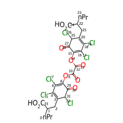 CCCC(CC1=C(Cl)C(Cl)=C(OC(=O)C(=O)OC2=C(Cl)C(Cl)=C(CC(CCC)C(=O)O)C(Cl)C2=O)C(=O)C1Cl)C(=O)O